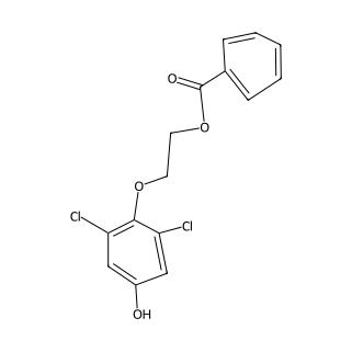 O=C(OCCOc1c(Cl)cc(O)cc1Cl)c1ccccc1